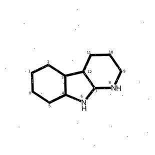 C1CCC2C(C1)NC1NCCCC12